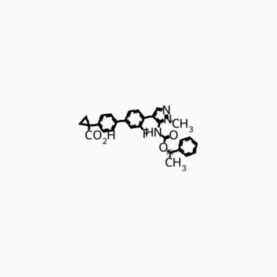 C[C@@H](OC(=O)Nc1c(-c2ccc(-c3ccc(C4(C(=O)O)CC4)cc3)cc2F)cnn1C)c1ccccc1